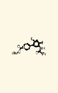 CC(C)C(=O)Nc1cc(C2=CCN(C(=O)OC(C)(C)C)CC2)c(F)cc1F